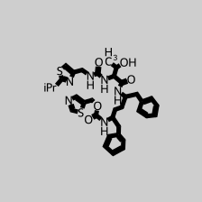 CC(C)c1nc(CNC(=O)NC(C(=O)NC(CCC(Cc2ccccc2)NC(=O)OCc2cncs2)Cc2ccccc2)C(C)O)cs1